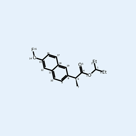 CCC(CC)OC(=O)[C@@H](C)c1ccc2cc(OF)ccc2c1